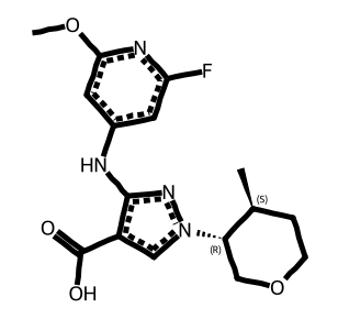 COc1cc(Nc2nn([C@H]3COCC[C@@H]3C)cc2C(=O)O)cc(F)n1